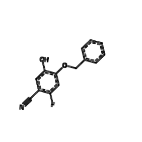 N#Cc1cc(O)c(OCc2ccccc2)cc1F